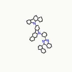 c1cc(-c2nc(-c3cccc4ccccc34)c3ccccc3n2)cc(-n2c3ccc(-n4c5ccccc5c5ccc6ccccc6c54)cc3c3cc4ccccc4cc32)c1